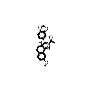 COc1ccc2c(c1)C1=NN(C(C)=O)[C@@H](c3ccc4c(c3)OCO4)[C@@H]1CC2